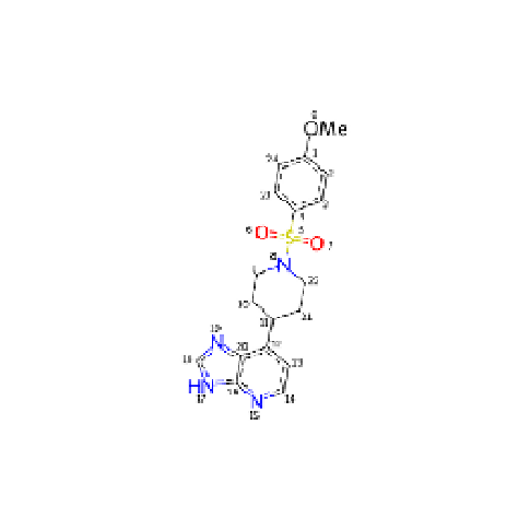 COc1ccc(S(=O)(=O)N2CCC(c3ccnc4[nH]cnc34)CC2)cc1